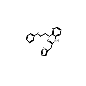 O=C(Cc1cccs1)Nc1cccnc1SCCSc1ccccc1